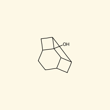 OC12C3CCC4CC(C1C3)C42